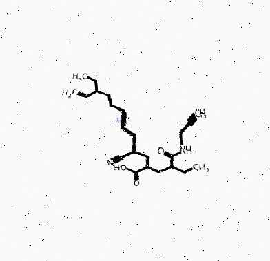 C#CCNC(=O)C(CC)CC(CC(C#N)C/C=C/CCC(C=C)CC)C(=O)O